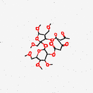 COCC1OC(OC2(COC)OC(OC)C(COC)C2OC(=O)CC(C)=O)C(OC(=O)CC(C)=O)C(OC)C1OC